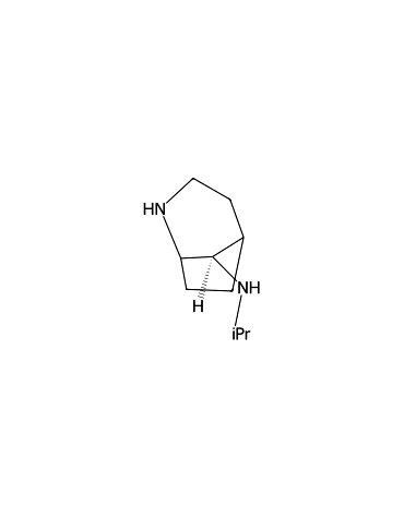 CC(C)N[C@@H]1C2CCNC1CC2